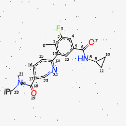 Cc1c(F)cc(C(=O)NC2CC2)cc1-c1ccc(C(=O)N(C)C(C)C)cn1